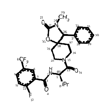 CC(C)[C@@H](NC(=O)c1cc(C(F)(F)F)ccc1F)C(=O)N1CCC2(CC1)OC(=O)N(C)C2c1ccccc1